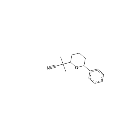 CC(C)(C#N)C1CCCC(c2ccccc2)O1